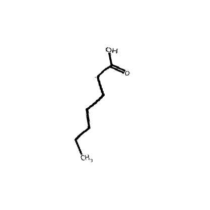 CCCCC[CH]C(=O)O